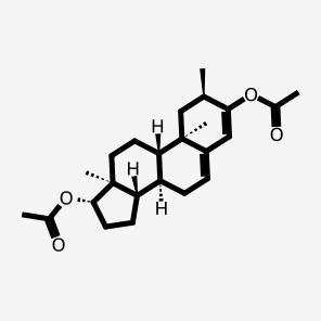 CC(=O)OC1=CC2=CC[C@H]3[C@@H]4CC[C@H](OC(C)=O)[C@@]4(C)CC[C@@H]3[C@@]2(C)C[C@H]1C